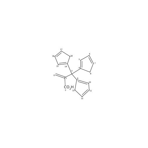 C=C(C(=O)O)C(C1=CC=CC1)(C1=CC=CC1)C1=CC=CC1